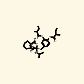 CCC(C)C(=O)Oc1ccc(C[C@](NC(C)C)(OC(=O)C2CCCCC2)C(=O)O)cc1OC(=O)C(C)CC